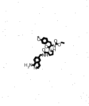 CCOC(=O)NC(Cc1ccc(OC)cc1)C(=O)N1CCCC1C(=O)NCc1ccc2c(N)nccc2c1